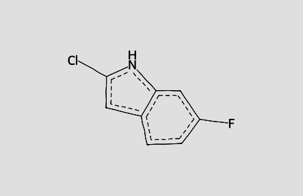 Fc1ccc2cc(Cl)[nH]c2c1